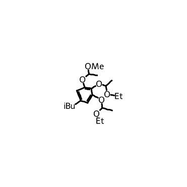 CCOC(C)Oc1cc(C(C)CC)cc(OC(C)OC)c1OC(C)OCC